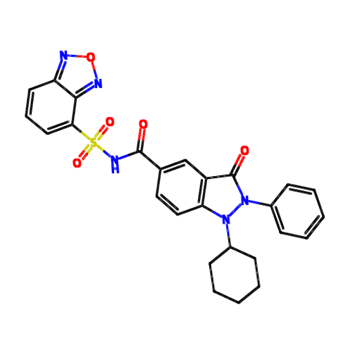 O=C(NS(=O)(=O)c1cccc2nonc12)c1ccc2c(c1)c(=O)n(-c1ccccc1)n2C1CCCCC1